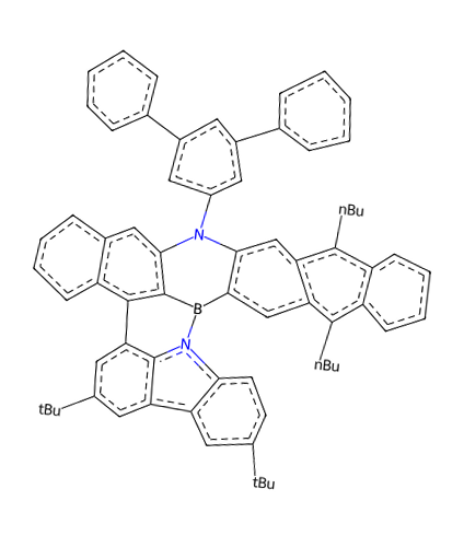 CCCCc1c2ccccc2c(CCCC)c2cc3c(cc12)B1c2c(cc4ccccc4c2-c2cc(C(C)(C)C)cc4c5cc(C(C)(C)C)ccc5n1c24)N3c1cc(-c2ccccc2)cc(-c2ccccc2)c1